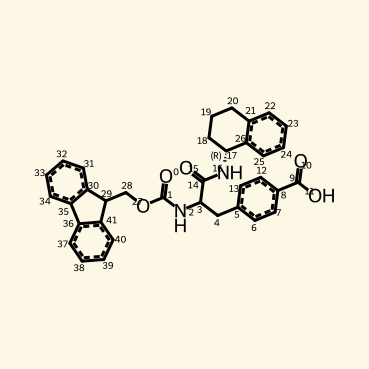 O=C(NC(Cc1ccc(C(=O)O)cc1)C(=O)N[C@@H]1CCCc2ccccc21)OCC1c2ccccc2-c2ccccc21